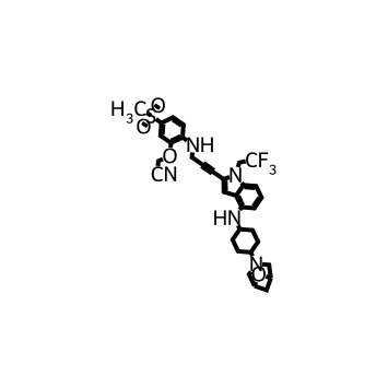 CS(=O)(=O)c1ccc(NCC#Cc2cc3c(NC4CCC(N5CC6CC(C5)O6)CC4)cccc3n2CC(F)(F)F)c(OCC#N)c1